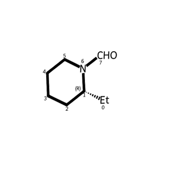 CC[C@@H]1CCCCN1C=O